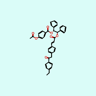 CCc1ccc(C(=O)Cc2ccc(/C=C/C(=O)O[C@H](c3ccccc3)[C@H](OC(=O)c3ccc(OC(C)=O)cc3)c3ccccc3)cc2)cc1